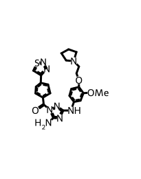 COc1cc(Nc2nc(N)n(C(=O)c3ccc(-c4csnn4)cc3)n2)ccc1OCCN1CCCC1